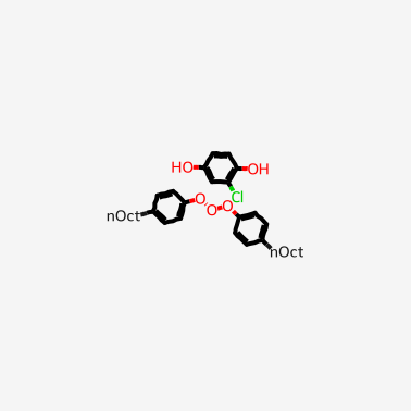 CCCCCCCCc1ccc(OOOc2ccc(CCCCCCCC)cc2)cc1.Oc1ccc(O)c(Cl)c1